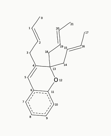 C/C=C/CC1=Cc2ccccc2OC1(C/C=C/C)C/C=C/C